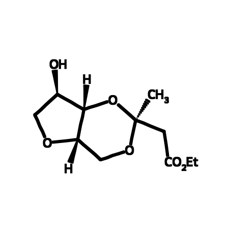 CCOC(=O)C[C@@]1(C)OC[C@@H]2OC[C@@H](O)[C@@H]2O1